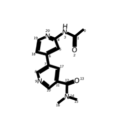 CC(=O)Nc1cc(-c2cncc(C(=O)N(C)C)c2)ccn1